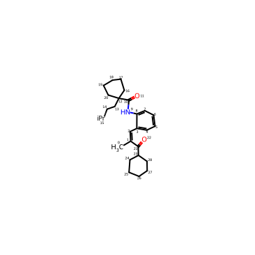 C/C(=C/c1ccccc1NC(=O)C1(CCC(C)C)CCCCC1)C(=O)C1CCCCC1